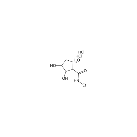 CCNC(=O)C1CCC(O)C1O.Cl.Cl.O